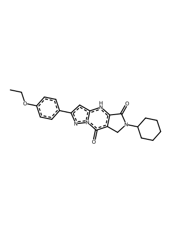 CCOc1ccc(-c2cc3[nH]c4c(c(=O)n3n2)CN(C2CCCCC2)C4=O)cc1